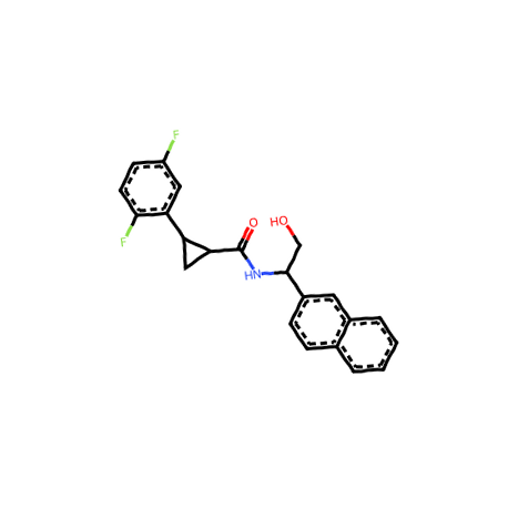 O=C(NC(CO)c1ccc2ccccc2c1)C1CC1c1cc(F)ccc1F